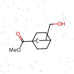 COC(=O)C12CCC(CC1)C(CO)C2